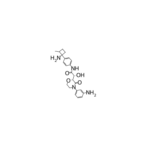 CC1CCC1(N)c1ccc(NC(=O)[C@H](O)[C@H]2OCCN(c3cccc(N)c3)C2=O)cc1